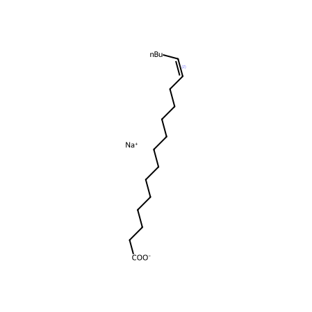 CCCC/C=C\CCCCCCCCCCCC(=O)[O-].[Na+]